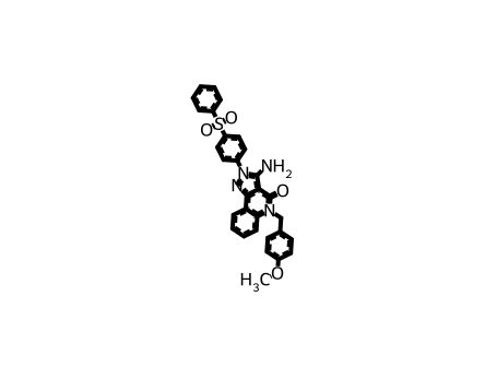 COc1ccc(Cn2c(=O)c3c(N)n(-c4ccc(S(=O)(=O)c5ccccc5)cc4)nc3c3ccccc32)cc1